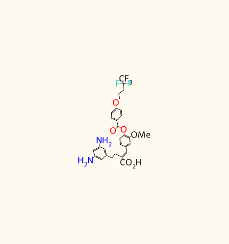 COc1cc(C=C(CCc2cc(N)cc(N)c2)C(=O)O)ccc1OC(=O)c1ccc(OCCCC(F)(F)C(F)(F)F)cc1